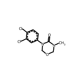 CN1COCN(c2ccc(Cl)c(Cl)c2)C1=O